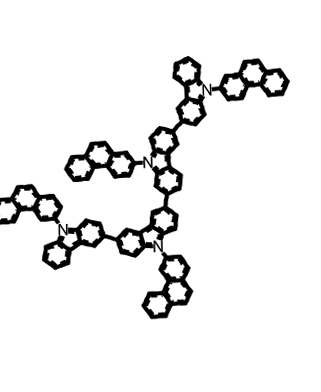 c1ccc2c(c1)ccc1cc(-n3c4ccccc4c4cc(-c5ccc6c(c5)c5ccc(-c7ccc8c(c7)c7cc(-c9ccc%10c(c9)c9ccccc9n%10-c9ccc%10ccc%11ccccc%11c%10c9)ccc7n8-c7ccc8ccc9ccccc9c8c7)cc5n6-c5ccc6c(ccc7ccccc76)c5)ccc43)ccc12